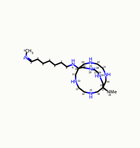 C/N=C\CCCCCCNC12CNCCNCC(NC)(CNCCNC1)CNCCNC2